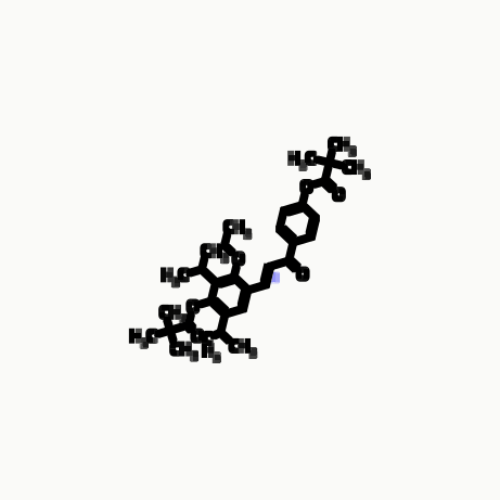 CCOc1c(/C=C/C(=O)c2ccc(OC(=O)C(C)(C)C)cc2)cc(C(C)C)c(OC(=O)C(C)(C)C)c1C(C)C